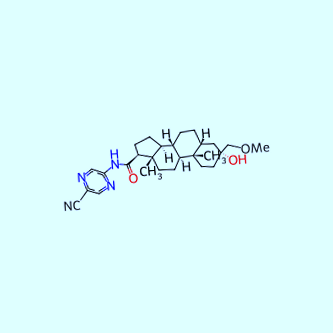 COC[C@@]1(O)CC[C@@]2(C)[C@H](CC[C@@H]3[C@@H]2CC[C@]2(C)[C@@H](C(=O)Nc4cnc(C#N)cn4)CC[C@@H]32)C1